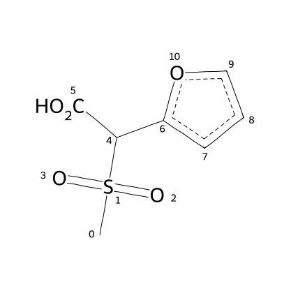 CS(=O)(=O)C(C(=O)O)c1ccco1